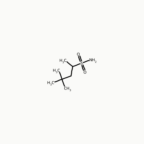 CC(CC(C)(C)C)S(N)(=O)=O